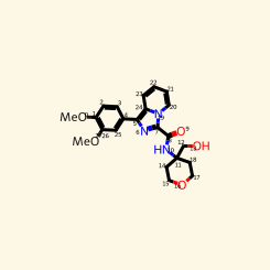 COc1ccc(-c2nc(C(=O)NC3(CO)CCOCC3)n3ccccc23)cc1OC